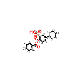 O=C(Oc1ccc(C2CCCCC2)cc1S(=O)(=O)O)c1ccccc1